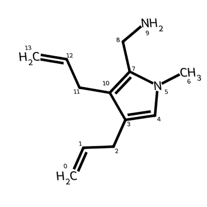 C=CCc1cn(C)c(CN)c1CC=C